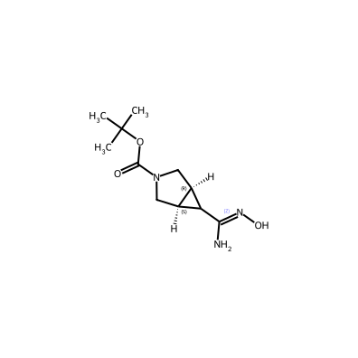 CC(C)(C)OC(=O)N1C[C@@H]2C(/C(N)=N/O)[C@@H]2C1